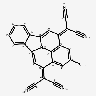 Cc1cc2c(=C(C#N)C#N)cc3c4ccccc4c4cc(=C(C#N)C#N)c(c1)c2n34